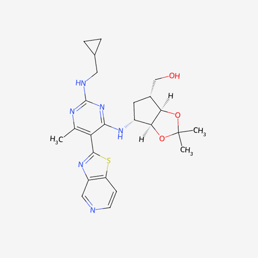 Cc1nc(NCC2CC2)nc(N[C@@H]2C[C@H](CO)[C@H]3OC(C)(C)O[C@H]32)c1-c1nc2cnccc2s1